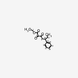 CCOC(=O)C(=O)C(=O)CC(CC)c1ccccc1